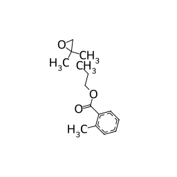 CC1(C)CO1.CCCOC(=O)c1ccccc1C